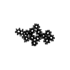 CC1(c2ccc3ccccc3c2)c2ccccc2-c2c1ccc1c3ccccc3n(-c3ccc(-c4ccccc4-c4ccc(N(c5ccc(-c6ccccc6)cc5)c5ccc6c(c5)-c5ccccc5C65c6ccccc6-c6ccccc65)cc4)cc3)c21